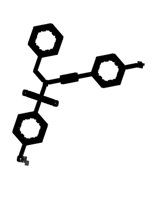 Cc1ccc(S(=O)(=O)N(C#Cc2ccc(Br)cc2)Cc2ccccc2)cc1